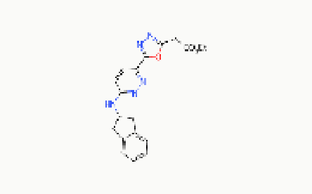 CCOC(=O)Cc1nnc(-c2ccc(NC3Cc4ccccc4C3)nn2)o1